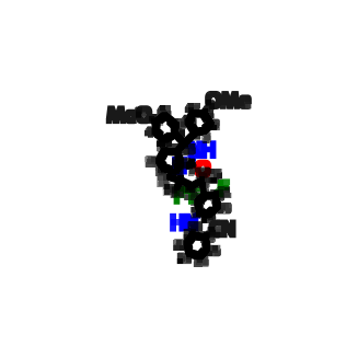 COc1ccc(C(NC2=NC(C)(C)C(F)(F)[C@@](C)(c3cc(Nc4ccccc4C#N)ccc3F)O2)(c2ccccc2)c2ccc(OC)cc2)cc1